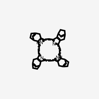 C1=C2CCC1C1=C(C2)c2cc3[nH]c(cc4nc(cc5[nH]c(cc1n2)c1c5C2C=C(CC2)C1)C1=C4C2C=C(CC2)C1)c1c3C2C=C(CC2)C1